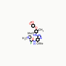 COc1cc2ncnc(Nc3cc(C)c(Oc4ccc5c(c4)OCO5)cc3OC)c2cc1NC(=O)/C(F)=C\[C@H]1CCCN1C